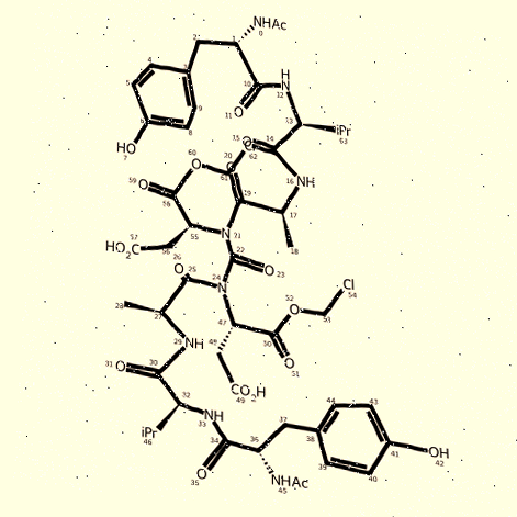 CC(=O)N[C@@H](Cc1ccc(O)cc1)C(=O)N[C@H](C(=O)N[C@@H](C)C(=O)N(C(=O)N(C(=O)[C@H](C)NC(=O)[C@@H](NC(=O)[C@H](Cc1ccc(O)cc1)NC(C)=O)C(C)C)[C@@H](CC(=O)O)C(=O)OCCl)[C@@H](CC(=O)O)C(=O)OCCl)C(C)C